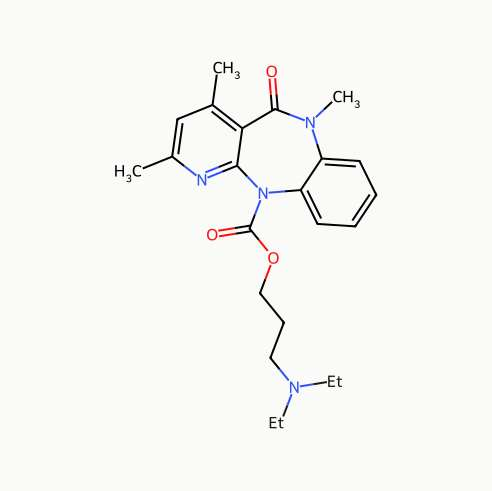 CCN(CC)CCCOC(=O)N1c2ccccc2N(C)C(=O)c2c(C)cc(C)nc21